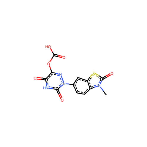 Cn1c(=O)sc2cc(-n3nc(OC(=O)O)c(=O)[nH]c3=O)ccc21